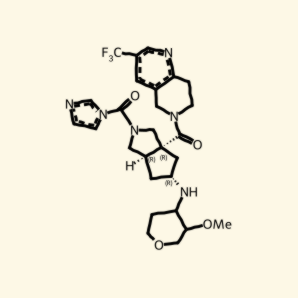 COC1COCCC1N[C@@H]1C[C@H]2CN(C(=O)n3ccnc3)C[C@@]2(C(=O)N2CCc3ncc(C(F)(F)F)cc3C2)C1